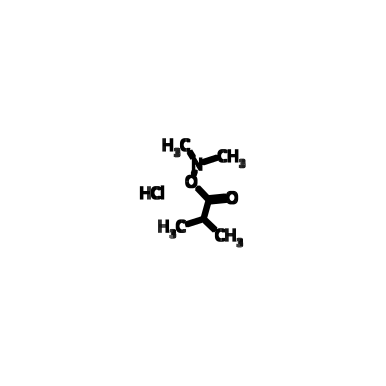 CC(C)C(=O)ON(C)C.Cl